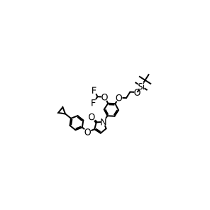 CC(C)(C)[Si](C)(C)OCCOc1ccc(N2CC=C(Oc3ccc(C4CC4)cc3)C2=O)cc1OC(F)F